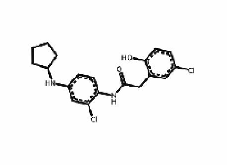 O=C(Cc1cc(Cl)ccc1O)Nc1ccc(NC2CCCC2)cc1Cl